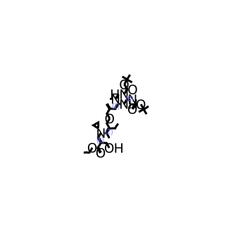 C=C(/C=C(/N/C(=N\C(=O)OC(C)(C)C)NC(=O)OC(C)(C)C)N(C)C)COC/C(CC)=C(/C)N(/C=C(\CO)C(=O)OCC)C1CC1